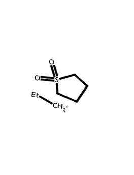 O=S1(=O)CCCC1.[CH2]CC